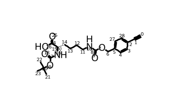 C#Cc1ccc(COC(=O)NCCCC[C@H](NC(=O)OC(C)(C)C)C(=O)O)cc1